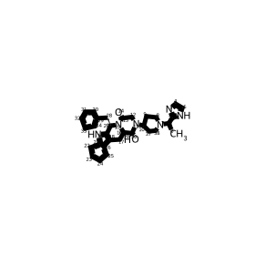 CC(c1ncc[nH]1)N1CCC(N2CC(=O)N3[C@H](Cc4c([nH]c5ccccc45)[C@@H]3Cc3ccccc3)C2=O)CC1